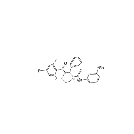 Cc1cc(F)cc(F)c1C(=O)N1CCC[C@H](C(=O)Nc2cccc(C(C)(C)C)c2)C1c1ccccc1